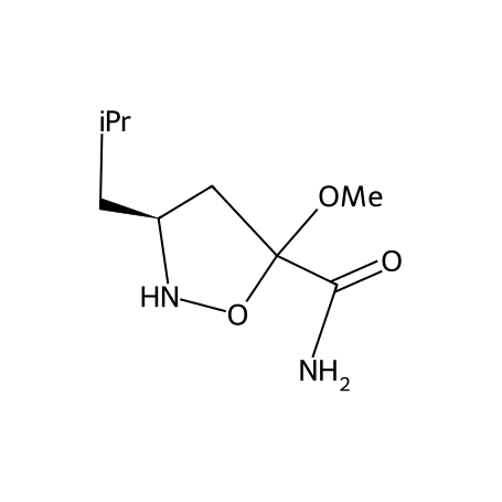 COC1(C(N)=O)C[C@H](CC(C)C)NO1